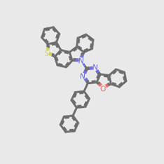 c1ccc(-c2ccc(-c3nc(-n4c5ccccc5c5c6c(ccc54)sc4ccccc46)nc4c3oc3ccccc34)cc2)cc1